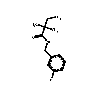 CCC(C)(C)C(=O)NCc1cccc(F)c1